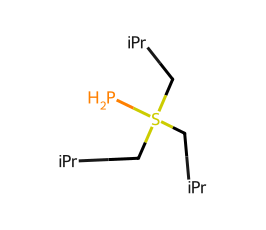 CC(C)CS(P)(CC(C)C)CC(C)C